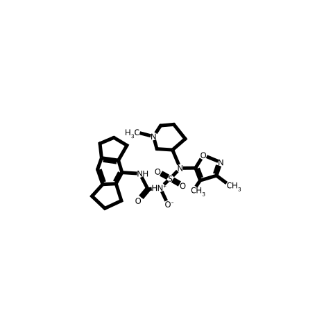 Cc1noc(N(C2CCCN(C)C2)S(=O)(=O)[NH+]([O-])C(=O)Nc2c3c(cc4c2CCC4)CCC3)c1C